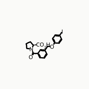 O=C(O)[C@@H]1CCCN1C(=O)c1cccc(COc2ccc(I)cc2)c1